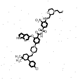 CC1(C)CCC(CN2CCN(c3ccc(C(=O)NS(=O)(=O)c4ccc(NCC5CN(CCF)CCO5)c([N+](=O)[O-])c4)c(Oc4cnc5[nH]ccc5c4)c3)CC2)=C(c2ccc(Cl)cc2)C1